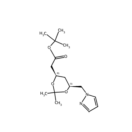 CC(C)(C)OC(=O)C[C@H]1C[C@@H](Cn2cc[c]n2)OC(C)(C)O1